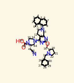 Cc1cccc2cccc(N3CCc4c(nc(OC[C@@H]5CCCN5Cc5ccccc5)nc4N4CCN(C(=O)O)[C@@H](CC#N)C4)C3)c12